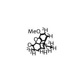 [2H]c1c([2H])c(OC)c2c3c1C[C@H]1N(C([2H])([2H])[2H])CC[C@@]34C(O2)C(=O)C([2H])([2H])C[C@@]14[2H]